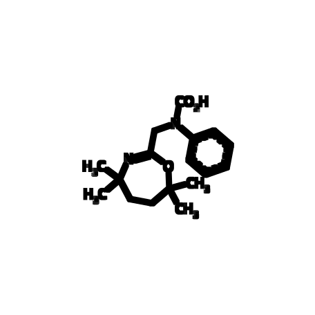 CC1(C)CCC(C)(C)OC(CN(C(=O)O)c2ccccc2)=N1